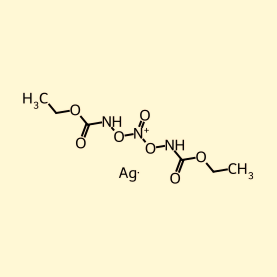 CCOC(=O)NO[N+](=O)ONC(=O)OCC.[Ag]